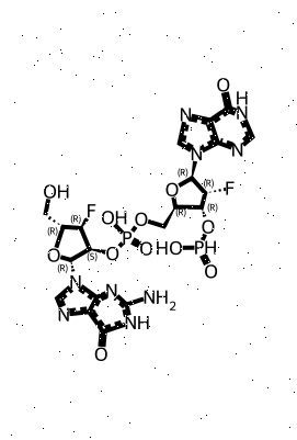 Nc1nc2c(ncn2[C@@H]2O[C@H](CO)[C@@H](F)[C@H]2OP(=O)(O)OC[C@H]2O[C@@H](n3cnc4c(=O)[nH]cnc43)[C@H](F)[C@@H]2O[PH](=O)O)c(=O)[nH]1